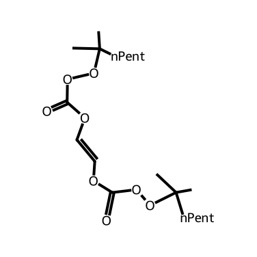 CCCCCC(C)(C)OOC(=O)OC=COC(=O)OOC(C)(C)CCCCC